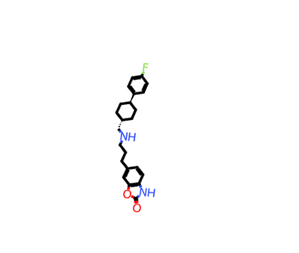 O=c1[nH]c2ccc(CCCNC[C@H]3CC[C@H](c4ccc(F)cc4)CC3)cc2o1